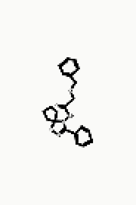 O=C(COCc1ccccc1)NN1C(c2ccccc2)=NOC12CCCC2